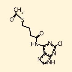 CC(=O)SCCCC(=O)Nc1nc(Cl)nc2[nH]cnc12